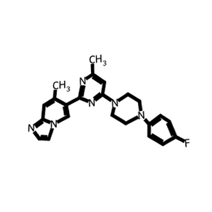 Cc1cc(N2CCN(c3ccc(F)cc3)CC2)nc(-c2cn3ccnc3cc2C)n1